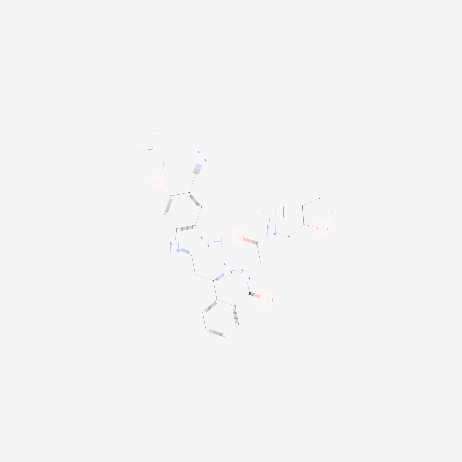 CN(CC1CCCO1)C(=O)Cn1nc(Cc2nc3cc(OCC(F)F)c(C#N)cc3[nH]2)c2ccccc2c1=O